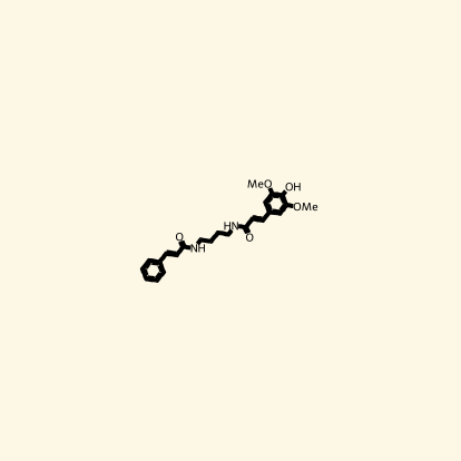 COc1cc(C=CC(=O)NCCCCNC(=O)/C=C/c2ccccc2)cc(OC)c1O